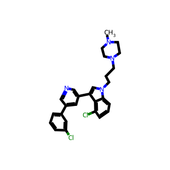 CN1CCN(CCCn2cc(-c3cncc(-c4cccc(Cl)c4)c3)c3c(Cl)cccc32)CC1